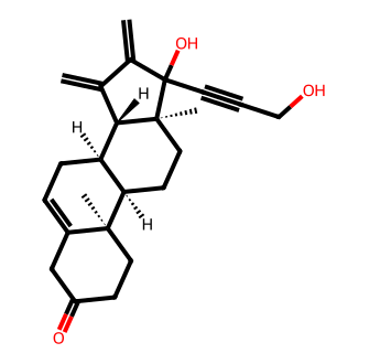 C=C1C(=C)C(O)(C#CCO)[C@@]2(C)CC[C@@H]3[C@@H](CC=C4CC(=O)CC[C@@]43C)[C@H]12